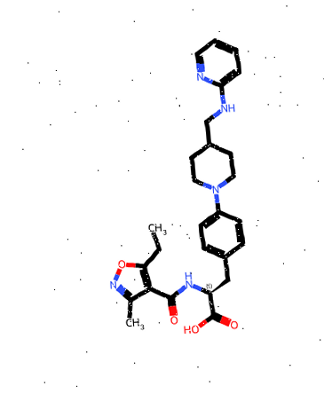 CCc1onc(C)c1C(=O)N[C@@H](Cc1ccc(N2CCC(CNc3ccccn3)CC2)cc1)C(=O)O